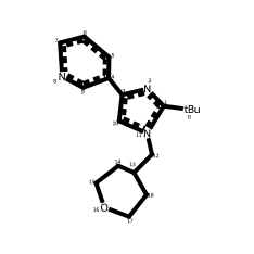 CC(C)(C)c1nc(-c2cccnc2)cn1CC1CCOCC1